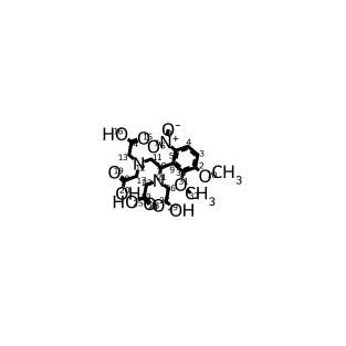 COc1ccc([N+](=O)[O-])c(C(CN(CC(=O)O)CC(=O)O)N(CC(=O)O)CC(=O)O)c1OC